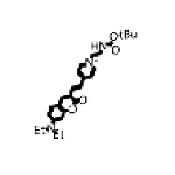 CCN(CC)c1ccc2cc(/C=C/c3cc[n+](CCNC(=O)OC(C)(C)C)cc3)c(=O)oc2c1